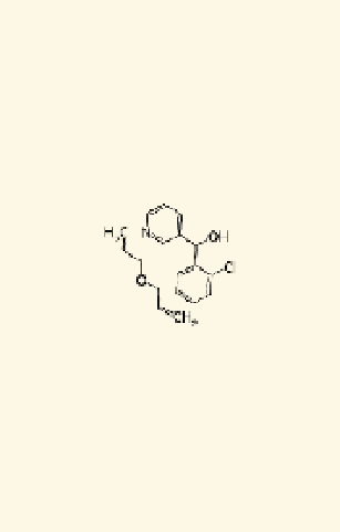 C=CCOCC=C.OC(c1cccnc1)c1ccccc1Cl